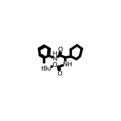 Cc1ccccc1NC(=O)C(NC(=O)OC(C)(C)C)C1CCCCC1